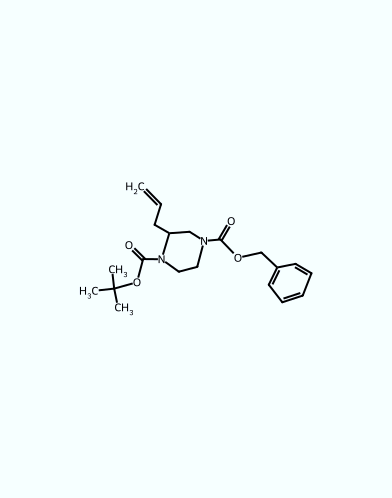 C=CCC1CN(C(=O)OCc2ccccc2)CCN1C(=O)OC(C)(C)C